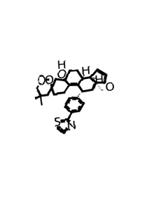 CC1(C)COOC2(CCC3=C4[C@@H](CC[C@@]3(O)C2)[C@H]2C=CC(=O)[C@@]2(C)C[C@@H]4c2ccc(-c3nccs3)cc2)C1